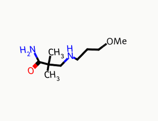 COCCCNCC(C)(C)C(N)=O